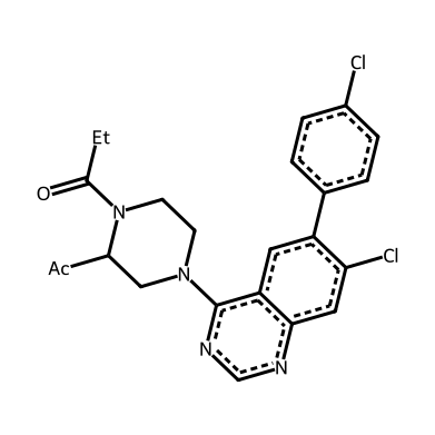 CCC(=O)N1CCN(c2ncnc3cc(Cl)c(-c4ccc(Cl)cc4)cc23)CC1C(C)=O